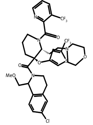 COCC1c2ccc(Cl)cc2CCN1C(=O)[C@]1(Oc2csc(C(F)(F)F)c2)CCCN(C(=O)c2ncccc2C(F)(F)F)[C@@H]1CCN1CCOCC1